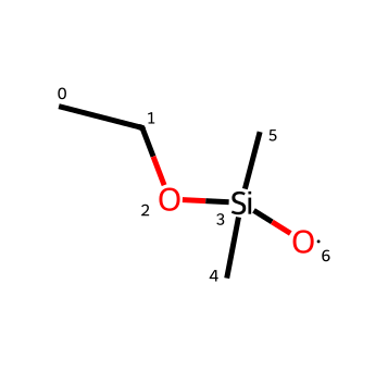 CCO[Si](C)(C)[O]